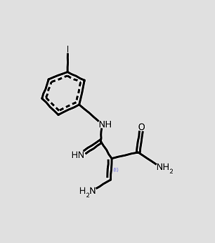 N=C(Nc1cccc(I)c1)/C(=C\N)C(N)=O